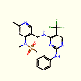 Cc1cc(N(C)S(C)(=O)=O)c(CNc2nc(Nc3ccccc3)ncc2C(F)(F)F)cn1